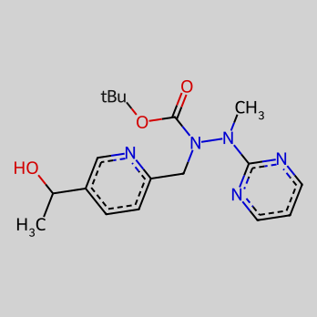 CC(O)c1ccc(CN(C(=O)OC(C)(C)C)N(C)c2ncccn2)nc1